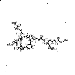 CN1C(=O)[C@H](C[C@@H](O)CNC(=O)OC(C)(C)C)NC(=O)[C@@H](NC(=O)OC(C)(C)C)Cc2cc(ccc2O)-c2cccc(c2)C[C@H]1C(=O)NCCC(=O)NC[C@H](CCCNC(=O)OC(C)(C)C)NC(=O)OC(C)(C)C